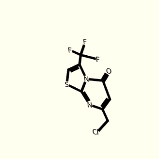 O=c1cc(CCl)nc2scc(C(F)(F)F)n12